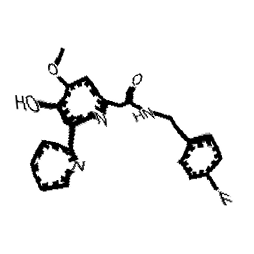 COc1cc(C(=O)NCc2ccc(F)cc2)nc(-c2ccccn2)c1O